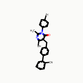 CCCc1nc(C)n(-c2ccc(C(C)=O)cc2)c(=O)c1Cc1ccc(-c2ccccc2C#N)cc1